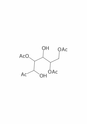 CC(=O)OCC(OC(C)=O)C(O)C(OC(C)=O)C(O)C(C)=O